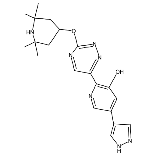 CC1(C)CC(Oc2ncc(-c3ncc(-c4cn[nH]c4)cc3O)nn2)CC(C)(C)N1